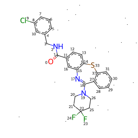 O=C(NCc1cccc(Cl)c1)c1ccc2c(c1)N=C(N1CCC(F)(F)CC1)c1ccccc1S2